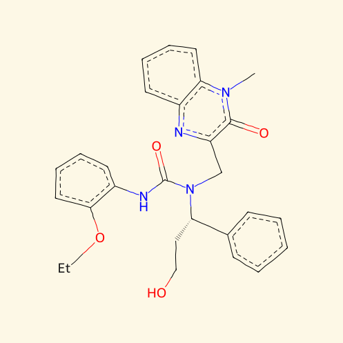 CCOc1ccccc1NC(=O)N(Cc1nc2ccccc2n(C)c1=O)[C@@H](CCO)c1ccccc1